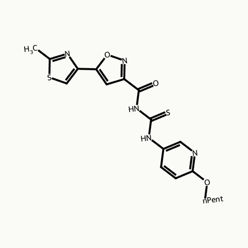 CCCCCOc1ccc(NC(=S)NC(=O)c2cc(-c3csc(C)n3)on2)cn1